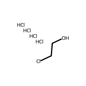 Cl.Cl.Cl.Cl.OCCCl